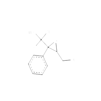 CC(C)(C)C1(c2ccccc2)OC1CO